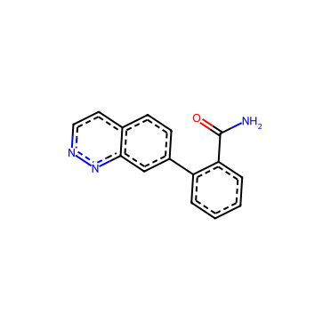 NC(=O)c1ccccc1-c1ccc2ccnnc2c1